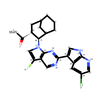 CNC(=O)[C@@H]1CC2CCCC(C2)[C@H]1n1cc(F)c2cnc(-c3c[nH]c4ncc(Cl)cc34)nc21